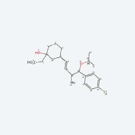 CCOC(=O)CC1(O)CCCC(C=CC(C(O[SiH](C)C)c2ccc(Cl)cc2)C(C)(C)C)C1